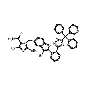 CCCCc1nc(Cl)c(C(N)=O)n1Cc1ccc2oc(-c3ccccc3-c3nnn(C(c4ccccc4)(c4ccccc4)c4ccccc4)n3)c(Br)c2c1